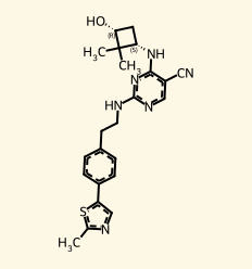 Cc1ncc(-c2ccc(CCNc3ncc(C#N)c(N[C@H]4C[C@@H](O)C4(C)C)n3)cc2)s1